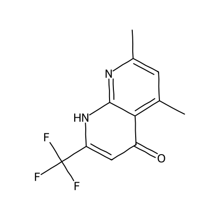 Cc1cc(C)c2c(=O)cc(C(F)(F)F)[nH]c2n1